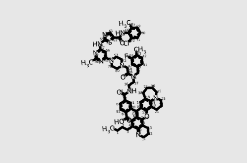 CCCCc1cc2c(c3c1=NCCC3)Oc1c(cc3c4c1CCCN4CCCC3)C=2c1cc(C(=O)NCCN(Cc2ccc(C)c(F)c2)C(=O)CN2CCN(c3cc(Nc4ncc(C(=O)Nc5c(C)cccc5Cl)s4)nc(C)n3)CC2)ccc1C(=O)O